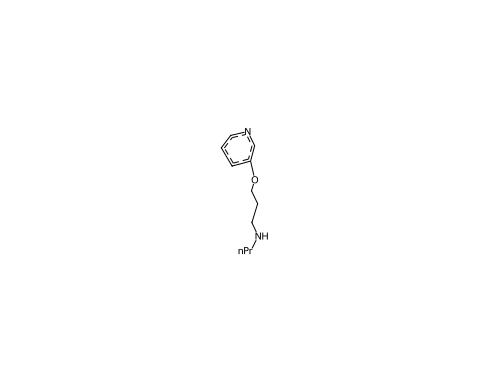 CCCNCCCOc1cccnc1